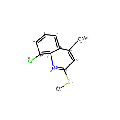 CCSc1cc(OC)c2cccc(Cl)c2n1